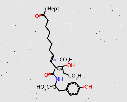 CCCCCCCC(=O)CCCCCC/C=C/[C@H](C(=O)N[C@@H](Cc1ccc(O)cc1)C(=O)O)[C@@](O)(CC(=O)O)C(=O)O